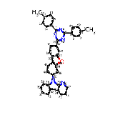 Cc1ccc(-c2nc(-c3ccc(C)cc3)nc(-c3ccc4c(c3)oc3cc(-n5c6ccccc6c6cccnc65)ccc34)n2)cc1